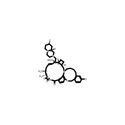 CO[C@]1(CN2CCN3CC[C@@H](F)C[C@@H]3C2)/C=C/C[C@H](C)[C@@H](C)S(=O)(=O)NC(=O)c2ccc3c(c2)N(CCCCc2cc(Cl)ccc2CO3)C[C@@H]2CC[C@H]21